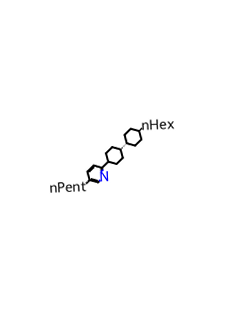 CCCCCC[C@H]1CC[C@H](C2CCC(c3ccc(CCCCC)cn3)CC2)CC1